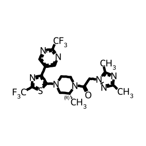 Cc1nc(C)n(CC(=O)N2CCN(c3sc(C(F)(F)F)nc3-c3cnc(C(F)(F)F)nc3)C[C@H]2C)n1